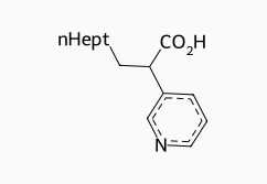 CCCCCCCCC(C(=O)O)c1cccnc1